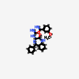 COC1=CC(C(=N)OC(=N)NC2N=C(c3ccccc3)c3ccccc3NC2=O)=CCC1